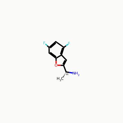 C[C@@H](N)c1cc2c(F)cc(F)cc2o1